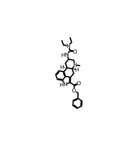 CCN(CC)C(=O)NC1C[C@@H]2c3cccc4[nH]c(C(=O)OCc5ccccc5)c(c34)C[C@H]2N(C)C1